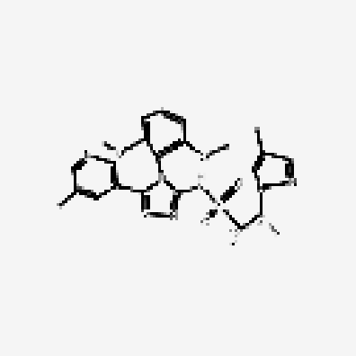 COc1cccc(OC)c1-n1c(NS(=O)(=O)[C@@H](C)[C@@H](C)n2cc(C)cn2)nnc1-c1cncc(C)c1